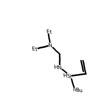 C=C[SiH](CCCC)NCN(CC)CC